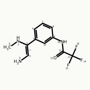 CN/C(=C\N)c1cccc(NC(=O)C(F)(F)F)c1